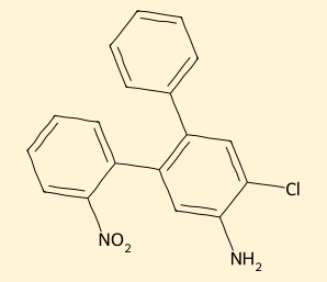 Nc1cc(-c2ccccc2[N+](=O)[O-])c(-c2ccccc2)cc1Cl